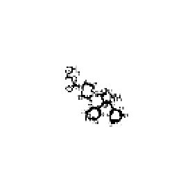 CCOC(=O)N1CCN(c2n[nH]c(-c3ccccc3)c2-c2ccncc2)CC1